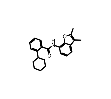 Cc1oc2c(NC(=O)c3ccccc3C3CCCCC3)cccc2c1C